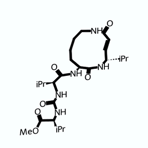 COC(=O)[C@@H](NC(=O)N[C@H](C(=O)N[C@H]1CCCCNC(=O)/C=C/[C@H](C(C)C)NC1=O)C(C)C)C(C)C